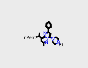 CCCCCC(C)C1=C2N=C(c3ccccc3)C=C(N3CCN(CC)CC3)N2N=C(C)C1